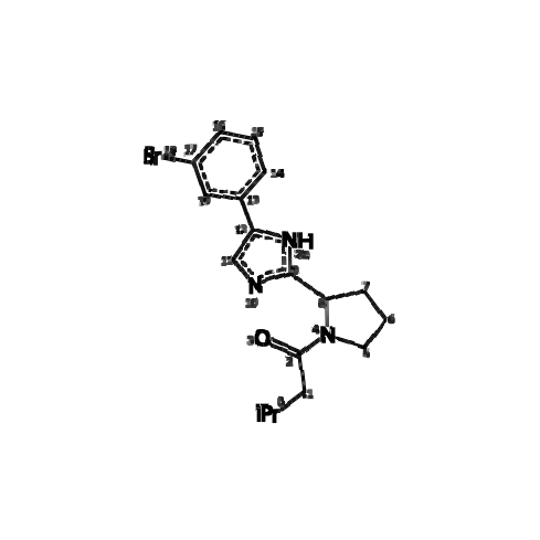 CC(C)[CH]C(=O)N1CCCC1c1ncc(-c2cccc(Br)c2)[nH]1